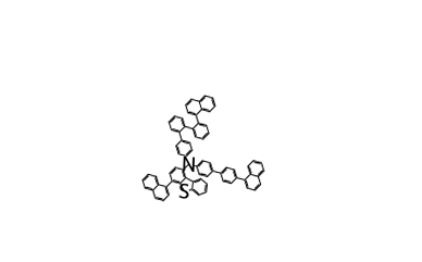 c1ccc(-c2ccccc2-c2cccc3ccccc23)c(-c2ccc(N(c3ccc(-c4ccc(-c5cccc6ccccc56)cc4)cc3)c3ccc(-c4cccc5ccccc45)c4sc5ccccc5c34)cc2)c1